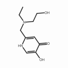 CCN(CCO)Cc1cc(=O)c(O)c[nH]1